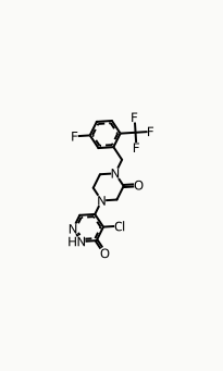 O=C1CN(c2cn[nH]c(=O)c2Cl)CCN1Cc1cc(F)ccc1C(F)(F)F